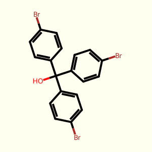 OC(c1ccc(Br)cc1)(c1ccc(Br)cc1)c1ccc(Br)cc1